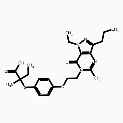 CCCc1nn(CC)c2c(=O)n(CCOc3ccc(SC(C)(CC)C(=O)O)cc3)c(C)nc12